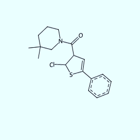 CC1(C)CCCN(C(=O)C2C=C(c3ccccc3)SC2Cl)C1